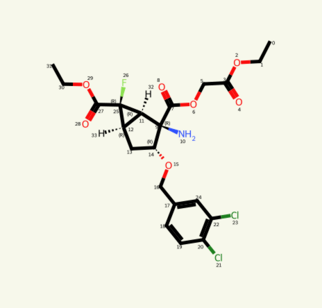 CCOC(=O)COC(=O)[C@@]1(N)[C@H]2[C@@H](C[C@H]1OCc1ccc(Cl)c(Cl)c1)[C@]2(F)C(=O)OCC